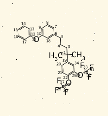 CC(C)(CCCc1cccc(Oc2ccccc2)c1)c1ccc(OC(F)(F)F)c(OC(F)(F)F)c1